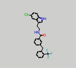 O=C(NCCc1c[nH]c2ccc(Cl)cc12)c1cccc(Cc2ccccc2C(F)(F)F)c1